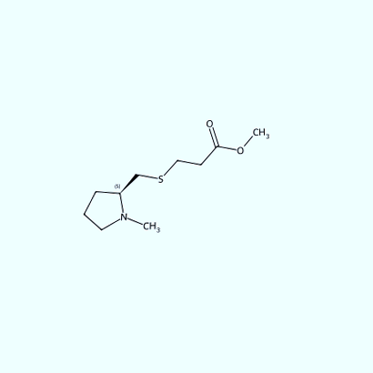 COC(=O)CCSC[C@@H]1CCCN1C